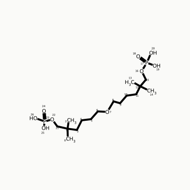 CC(C)(CCCCOCCCCC(C)(C)COP(=O)(O)O)COP(=O)(O)O